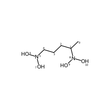 CC(CCCN(O)O)N(O)O